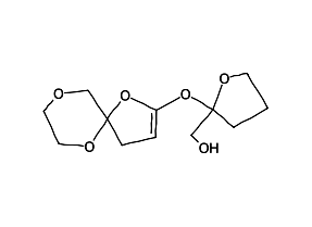 OCC1(OC2=CCC3(COCCO3)O2)CCCO1